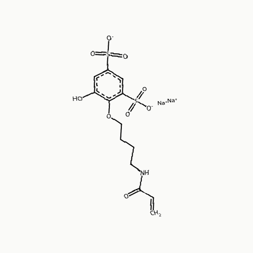 C=CC(=O)NCCCCOc1c(O)cc(S(=O)(=O)[O-])cc1S(=O)(=O)[O-].[Na+].[Na+]